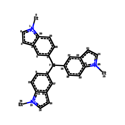 CCn1ccc2c[c]([Bi]([c]3ccc4c(ccn4CC)c3)[c]3ccc4c(ccn4CC)c3)ccc21